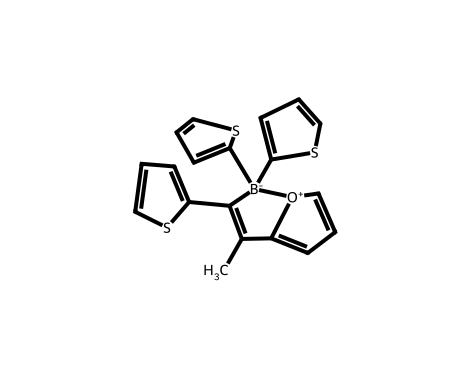 CC1=C(c2cccs2)[B-](c2cccs2)(c2cccs2)[o+]2cccc21